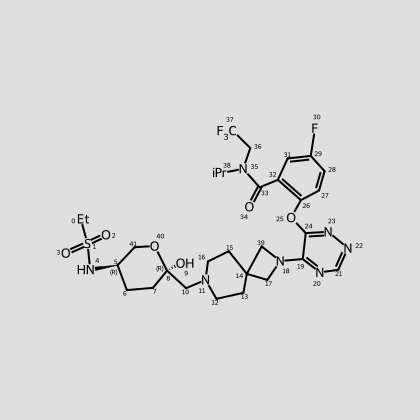 CCS(=O)(=O)N[C@@H]1CC[C@](O)(CN2CCC3(CC2)CN(c2ncnnc2Oc2ccc(F)cc2C(=O)N(CC(F)(F)F)C(C)C)C3)OC1